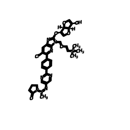 CS(=Nc1cnc(-c2ccc(-c3nc4c(cc3Cl)nc(O[C@@H]3CO[C@H]5[C@@H]3OC[C@H]5O)n4COCC[Si](C)(C)C)cc2)nc1)N1CCCC1=O